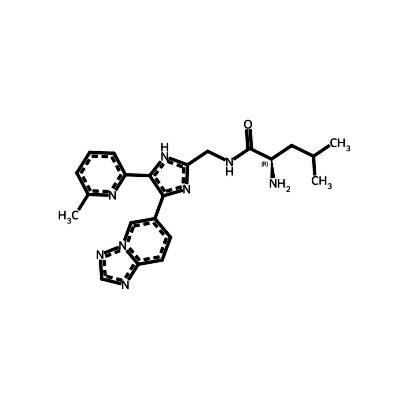 Cc1cccc(-c2[nH]c(CNC(=O)[C@H](N)CC(C)C)nc2-c2ccc3ncnn3c2)n1